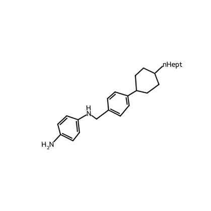 CCCCCCCC1CCC(c2ccc(CNc3ccc(N)cc3)cc2)CC1